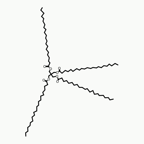 CCCCCCCCCCCCCCCCCCCCCC(=O)OCC(COC(=O)CCCCCCCCCCCCCCCCCCCCC)(COC(=O)CCCCCCCCCCCCCCCCCCCCC)COC(=O)CCCCCCCCCCCCCCCCCCCCC